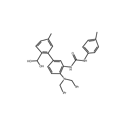 Cc1ccc(NC(=O)Nc2cc(-c3cc(C)ccc3C(O)O)ccc2N(CC(C)C)CC(C)C)cc1